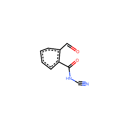 N#CNC(=O)c1ccccc1C=O